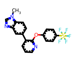 Cn1cnc2cc(-c3cccnc3Oc3ccc(S(F)(F)(F)(F)F)cc3)ccc21